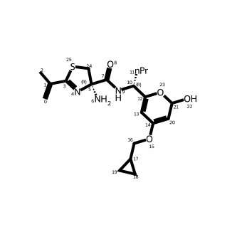 C=C(C)C1=N[C@](N)(C(=O)N[C@H](CCC)C2=CC(OCC3CC3)=CC(O)O2)CS1